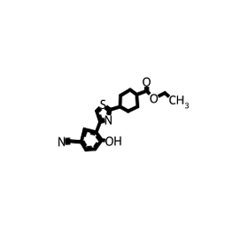 CCOC(=O)C1CCC(c2nc(-c3cc(C#N)ccc3O)cs2)CC1